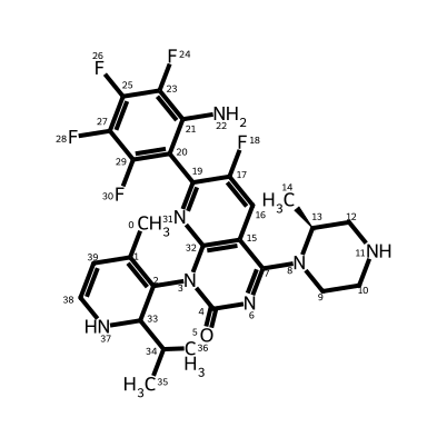 CC1=C(n2c(=O)nc(N3CCNC[C@@H]3C)c3cc(F)c(-c4c(N)c(F)c(F)c(F)c4F)nc32)C(C(C)C)NC=C1